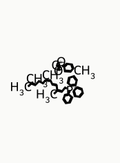 CC(C)=CCCC(C)=CC=CC(C)=CC[P+](c1ccccc1)(c1ccccc1)c1ccccc1.Cc1ccc(S(=O)(=O)[O-])cc1